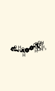 C[C@@H](O)[C@H](NC(=O)c1ccc(-c2ccc(NC(=O)CNCCCN3CCCC3=O)cc2)cc1)C(=O)NO